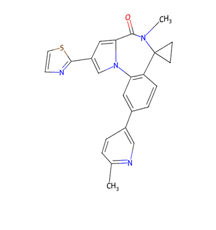 Cc1ccc(-c2ccc3c(c2)-n2cc(-c4nccs4)cc2C(=O)N(C)C32CC2)cn1